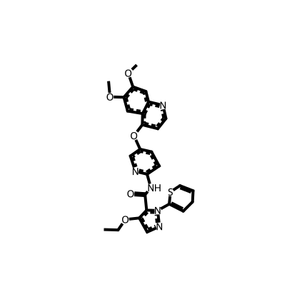 CCOc1cnn(C2=CCC=CS2)c1C(=O)Nc1ccc(Oc2ccnc3cc(OC)c(OC)cc23)cn1